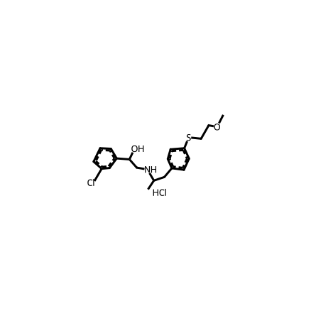 COCCSc1ccc(CC(C)NCC(O)c2cccc(Cl)c2)cc1.Cl